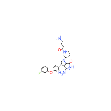 CN(C)CC=CC(=O)N1CCCC(n2cc(-c3ccc(Oc4cccc(F)c4)cc3)c3c(N)n[nH]c(=O)c32)C1